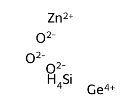 [Ge+4].[O-2].[O-2].[O-2].[SiH4].[Zn+2]